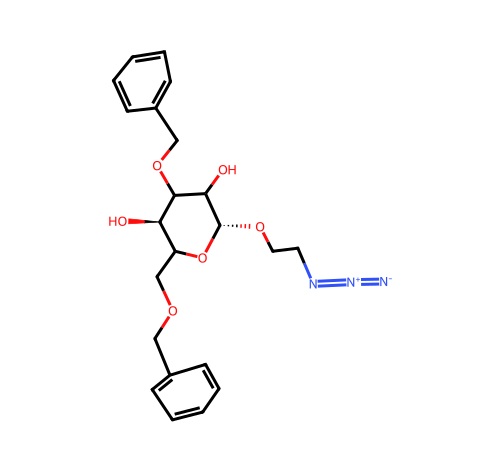 [N-]=[N+]=NCCO[C@@H]1OC(COCc2ccccc2)[C@@H](O)C(OCc2ccccc2)C1O